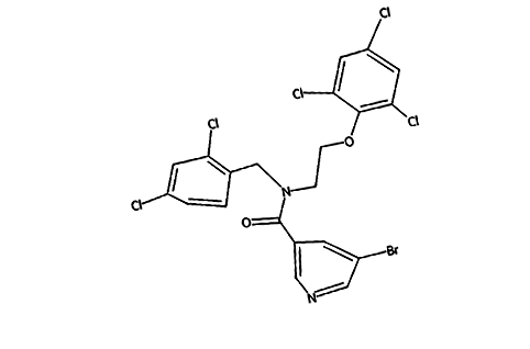 O=C(c1cncc(Br)c1)N(CCOc1c(Cl)cc(Cl)cc1Cl)Cc1ccc(Cl)cc1Cl